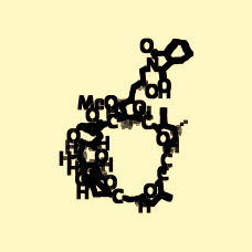 C=C1C[C@@H]2CCC34C[C@@H]5O[C@@H]6[C@@H](O[C@H]7CCC(CC(=O)C[C@H]8[C@H](CC9O[C@@H](CCC1O2)C[C@@H](C)C9=C)OC(C[C@H](O)CN1C(=O)c2ccccc2C1=O)[C@@H]8OC)O[C@@H]7[C@@H]6O3)[C@H]5O4